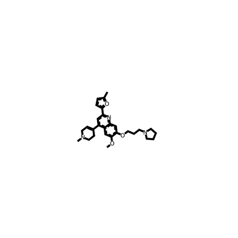 COc1cc2c(C3=CCN(C)CC3)cc(-c3ccc(C)o3)nc2cc1OCCCN1CCCC1